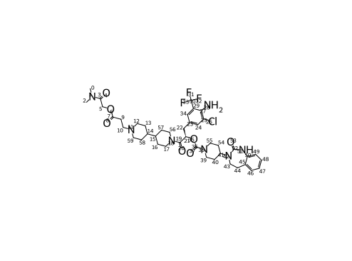 CN(C)C(=O)COC(=O)CCN1CCC(C2CCN(C(=O)[C@@H](Cc3cc(Cl)c(N)c(C(F)(F)F)c3)OC(=O)N3CCC(N4CCc5ccccc5NC4=O)CC3)CC2)CC1